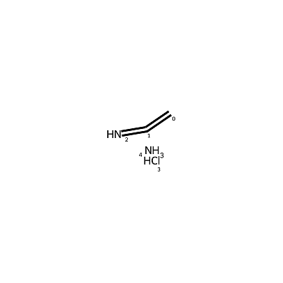 C=C=N.Cl.N